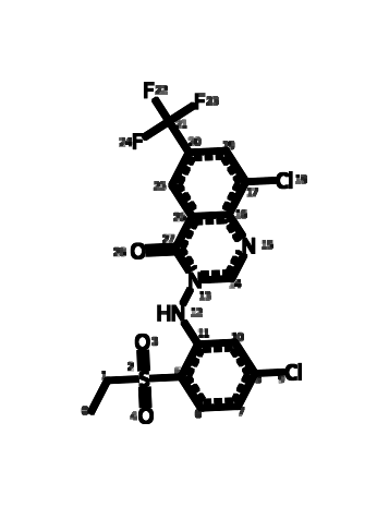 CCS(=O)(=O)c1ccc(Cl)cc1Nn1cnc2c(Cl)cc(C(F)(F)F)cc2c1=O